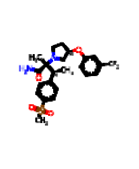 C[C@@H](c1ccc(S(C)(=O)=O)cc1)C(C)(C(N)=O)N1CC[C@@H](Oc2cccc(C(F)(F)F)c2)C1